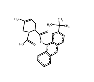 CC1=CCC(C(=O)Oc2c3ccccc3cc3ccc(C(C)(C)C)cc23)C(C(=O)O)C1